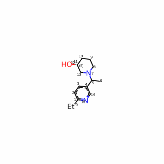 CCc1ccc(C(C)N2CCC[C@H](O)C2)cn1